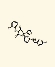 O=C1CC(c2ccsc2)(c2cccc(NCc3ccc(F)cc3)n2)NC(=O)C1Sc1ccccc1Cl